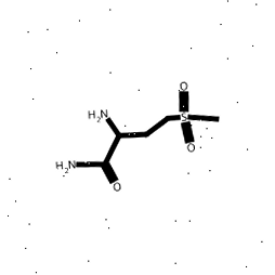 CS(=O)(=O)CCC(N)C(N)=O